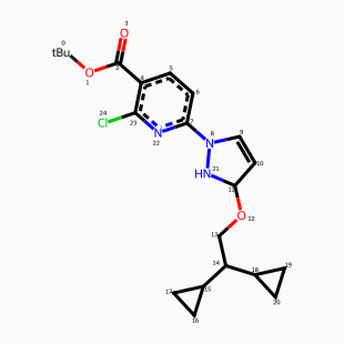 CC(C)(C)OC(=O)c1ccc(N2C=CC(OCC(C3CC3)C3CC3)N2)nc1Cl